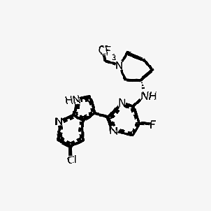 Fc1cnc(-c2c[nH]c3ncc(Cl)cc23)nc1N[C@H]1CCCN(CC(F)(F)F)C1